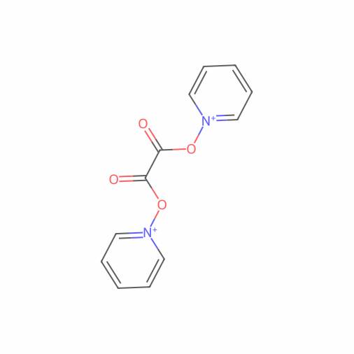 O=C(O[n+]1ccccc1)C(=O)O[n+]1ccccc1